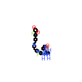 CS(=O)(=O)N1CCc2cccc(Nc3nc(Nc4ccc(N5CCC(CC6CCN(CCC7CCC(c8ccc(C9CCC(=O)CCC9=O)c(F)c8)CC7)CC6)CC5)c(F)c4)nc4[nH]ccc34)c21